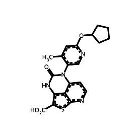 Cc1cc(OC2CCCC2)ncc1N1C(=O)Nc2c(C(=O)O)sc3nccc1c23